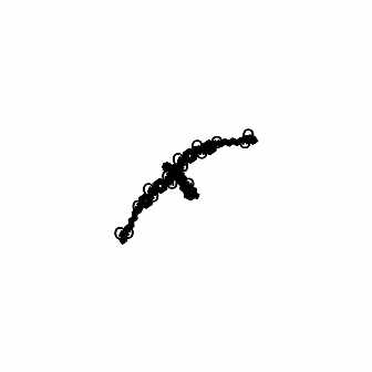 C=CC(=O)OCCCCCCOc1ccc(OC(=O)C2CCC(C(=O)Oc3c(C(C)(C)C)cc(OC(=O)C4CCC(C(=O)Oc5ccc(OCCCCCCOC(=O)C=C)cc5)CC4)c4sc(-c5cc6ccc(C)cc6o5)nc34)CC2)cc1